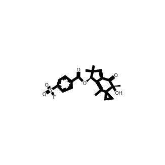 CC1=C2C(=CC(C)(C)[C@@H]2OC(=O)c2ccc(S(=O)(=O)F)cc2)C(=O)[C@](C)(O)C12CC2